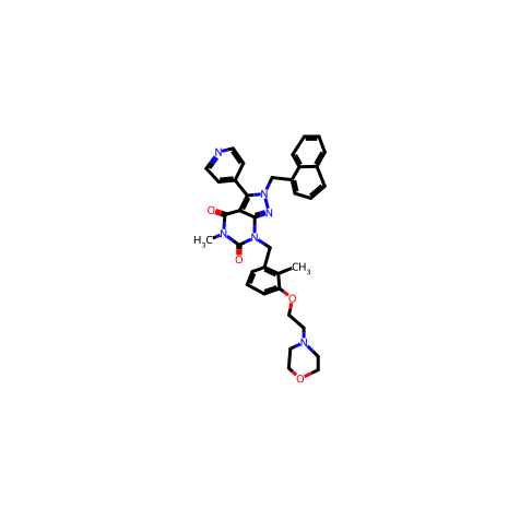 Cc1c(Cn2c(=O)n(C)c(=O)c3c(-c4ccncc4)n(Cc4cccc5ccccc45)nc32)cccc1OCCN1CCOCC1